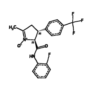 CC1=[N+]([O-])[C@H](C(=O)Nc2ccccc2F)[C@@H](c2ccc(C(F)(F)F)cc2)C1